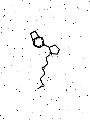 COCCOCCN1CCCC1c1ccc2c(c1)CC2